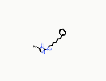 CC(=O)c1cnc(NCCCCCCc2ccccc2)[nH]1